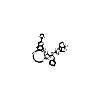 CC12CO[C@@H]3OCC(CC31)[C@@H]2OC(=O)N[C@@H](Cc1ccccc1)[C@H](O)CN1CCCCCCCOCc2cc3cc(-c4nccs4)oc3cc2S1(=O)=O